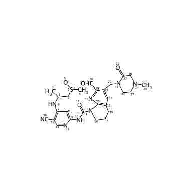 CC(C[S+](C)[O-])Nc1cc(NC(=O)N2CCCc3cc(CN4CCN(C)CC4=O)c(C=O)nc32)ncc1C#N